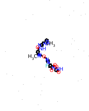 Cc1nn(CCOCCN2CCN(c3cc4c(cc3F)C(=O)N(C3CCC(=O)NC3=O)C4=O)CC2)c2cc(C(=O)Nc3cc4[nH]c([C@H]5CCCN5C)cc4cn3)ccc12